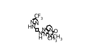 C[C@H]1C(=O)N2CCCc3nc(N[C@H]4C[C@H](Nc5ncc(C(F)(F)F)cn5)C4)nc(c32)N1C